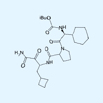 CC(C)COC(=O)N[C@H](C(=O)N1CCCC1C(=O)NC(CC1CCC1)C(=O)C(N)=O)C1CCCCC1